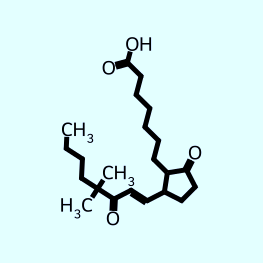 CCCCC(C)(C)C(=O)C=CC1CCC(=O)C1CCCCCCC(=O)O